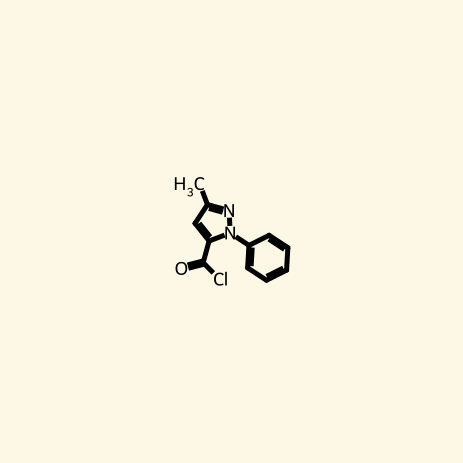 Cc1cc(C(=O)Cl)n(-c2ccccc2)n1